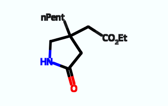 CCCCCC1(CC(=O)OCC)CNC(=O)C1